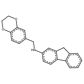 c1ccc2c(c1)Cc1cc(NCc3ccc4c(c3)OCCO4)ccc1-2